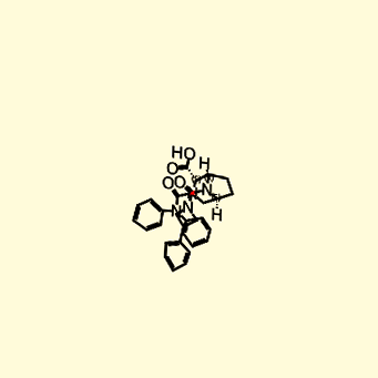 O=C(O)[C@@H]1[C@H]2CC[C@@H](CN1C(=O)N(c1ccccc1)c1ccccc1)N2C(=O)N1CC(c2ccccc2)C1